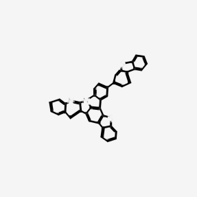 c1ccc2nc3c(cc2c1)c1cc2c4ccccc4sc2c2c4cc(-c5ccc6c(c5)sc5ccccc56)ccc4n3c12